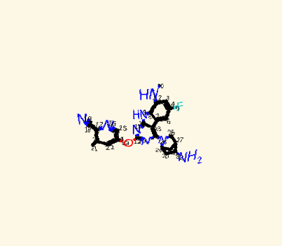 CNc1cc(F)cc2c1[nH]c1nc(Oc3cnc(C#N)c(C)c3)nc(N3CC4CC3C[C@@H]4N)c12